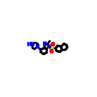 Cc1nc2c(N3CCNCC3)cccc2n1S(=O)(=O)c1ccc2ccccc2c1